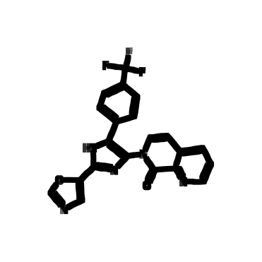 O=c1c2ncccc2ccn1-c1nc(-c2cnco2)[nH]c1-c1ccc(C(F)(F)F)cc1